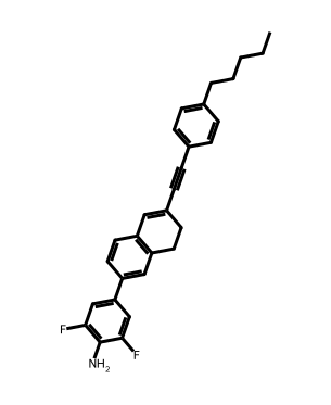 CCCCCc1ccc(C#CC2=Cc3ccc(-c4cc(F)c(N)c(F)c4)cc3CC2)cc1